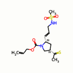 C=CCOC(=O)N1C[C@@H](C(C)=S)C[C@H]1C=CCNS(C)(=O)=O